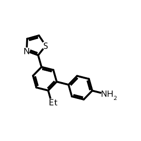 CCc1ccc(-c2nccs2)cc1-c1ccc(N)cc1